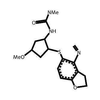 C=Nc1c(SC2CC(OC)CC2NC(=O)NC)ccc2c1CCO2